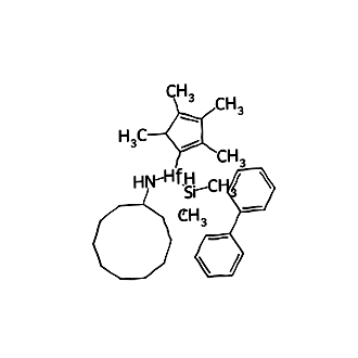 CC1=C(C)C(C)[C]([Hf]([NH]C2CCCCCCCCC2)[SiH](C)C)=C1C.c1ccc(-c2ccccc2)cc1